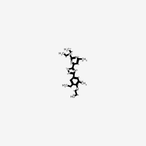 CCc1cc(-c2noc(-c3cc(C)nc(N(CC)CC)n3)n2)cc(C)c1OCCO